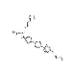 CCCCCCC(C)Oc1ccc(-c2ccc(-c3ncc(CCC)cn3)cc2)cc1